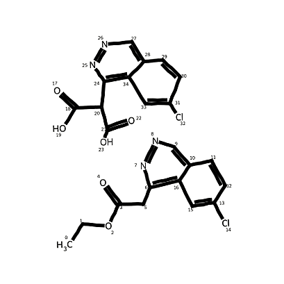 CCOC(=O)Cc1nncc2ccc(Cl)cc12.O=C(O)C(C(=O)O)c1nncc2ccc(Cl)cc12